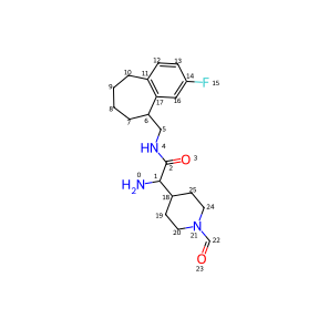 NC(C(=O)NCC1CCCCc2ccc(F)cc21)C1CCN(C=O)CC1